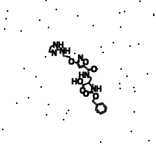 O=C(NC(CNC(=O)c1cc(OCCN[C@H]2N=CCN2)no1)C(=O)O)OCc1ccccc1